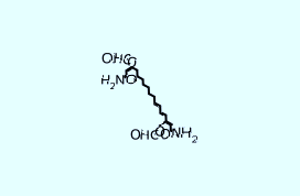 NC(=O)C=C(CCCCCCCCCCCC(=CC(N)=O)OC=O)COC=O